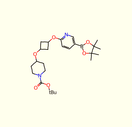 CC(C)(C)OC(=O)N1CCC(OC2CC(Oc3ccc(B4OC(C)(C)C(C)(C)O4)cn3)C2)CC1